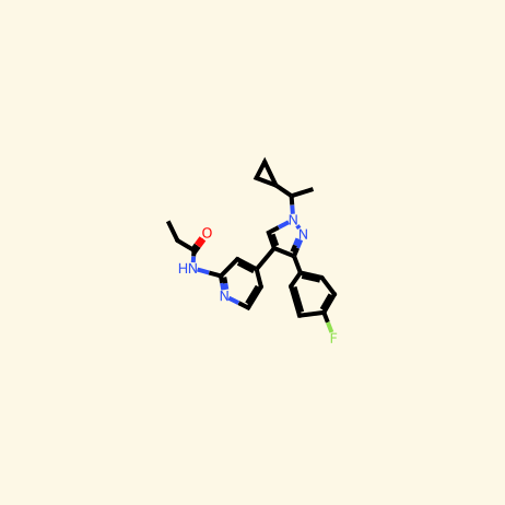 CCC(=O)Nc1cc(-c2cn(C(C)C3CC3)nc2-c2ccc(F)cc2)ccn1